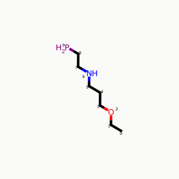 CCOCCCNCCP